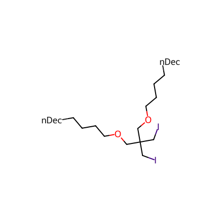 CCCCCCCCCCCCCCOCC(CI)(CI)COCCCCCCCCCCCCCC